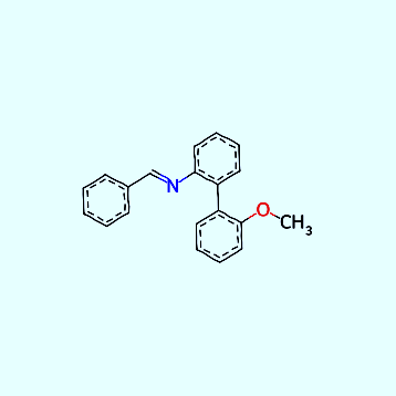 COc1ccccc1-c1ccccc1N=Cc1ccccc1